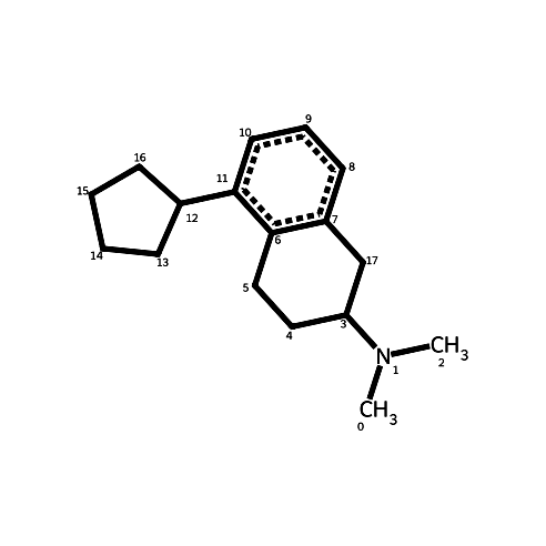 CN(C)C1CCc2c(cccc2C2CCCC2)C1